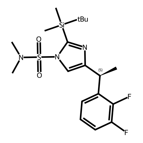 C[C@H](c1cn(S(=O)(=O)N(C)C)c([Si](C)(C)C(C)(C)C)n1)c1cccc(F)c1F